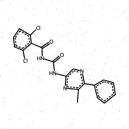 Cc1nc(NC(=O)NC(=O)c2c(Cl)cccc2Cl)cnc1-c1ccccc1